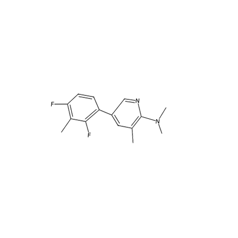 Cc1cc(-c2ccc(F)c(C)c2F)cnc1N(C)C